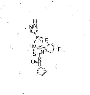 O=C(NC1=N[C@@]2(c3ccc(F)cc3F)CO[C@@H](c3cn[nH]c3)C[C@H]2CS1)c1ccccc1